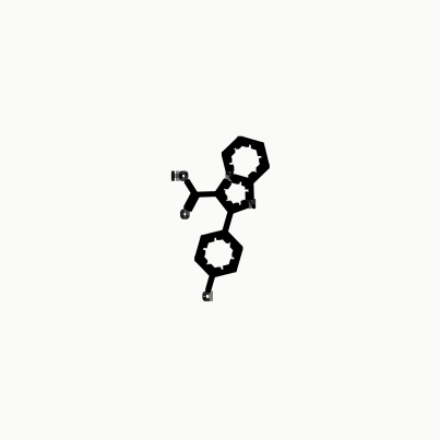 O=C(O)c1c(-c2ccc(Cl)cc2)nc2ccccn12